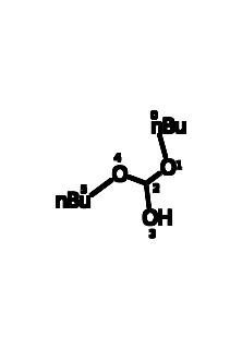 CCCCOC(O)OCCCC